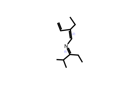 C=C/C(=C\N=C(/CC)C(C)C)CC